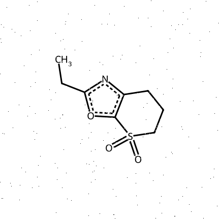 CCc1nc2c(o1)S(=O)(=O)CCC2